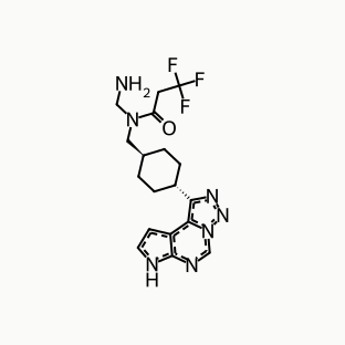 NCN(C[C@H]1CC[C@H](c2nnn3cnc4[nH]ccc4c23)CC1)C(=O)CC(F)(F)F